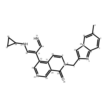 Cc1ccc2nc(Cn3ccc4c(/C(C=N)=C/NC5CC5)cncc4c3=O)cn2c1